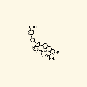 COc1c(Cc2ccc(-c3nn(C4CCN(c5ccc(C=O)cn5)C4)c4ncnc(N)c34)cc2)cc(F)cc1C(N)=O